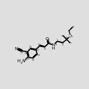 CCOC(C)(C)CCNC(=O)/C=C/c1ccc(N)c(C#N)c1